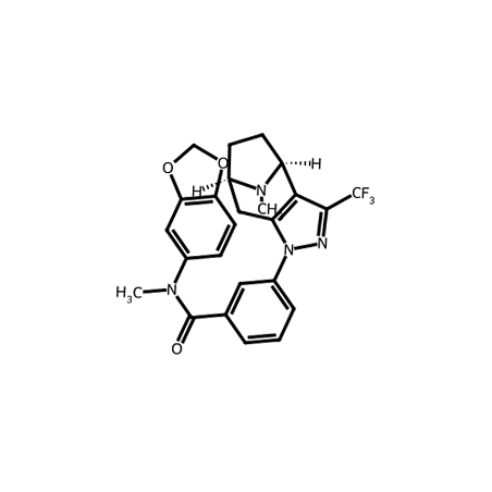 CN(C(=O)c1cccc(-n2nc(C(F)(F)F)c3c2C[C@H]2CC[C@@H]3N2C)c1)c1ccc2c(c1)OCO2